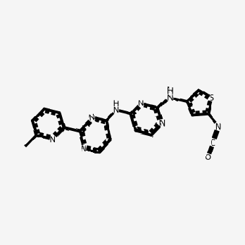 Cc1cccc(-c2nccc(Nc3ccnc(Nc4csc(N=C=O)c4)n3)n2)n1